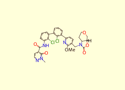 COc1nc(-c2cccc(-c3cccc(NC(=O)c4ccnn(C)c4=O)c3Cl)c2Cl)ccc1CN1C(=O)O[C@H]2COCCC21